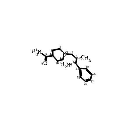 C[C@@H](CN1CCC(C(N)=O)CC1)[C@@H](N)c1ccccc1